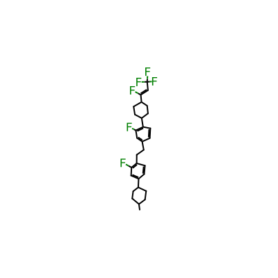 CC1CCC(c2ccc(CCc3ccc(C4CCC(/C(F)=C/C(F)(F)F)CC4)c(F)c3)c(F)c2)CC1